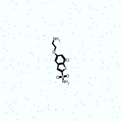 Cl.NCCOc1ccc2sc(S(N)(=O)=O)cc2c1